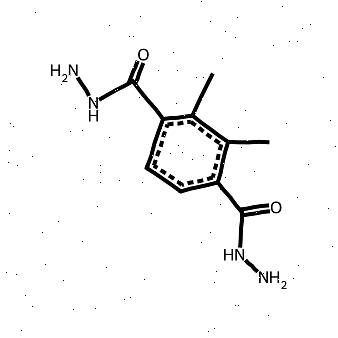 Cc1c(C(=O)NN)ccc(C(=O)NN)c1C